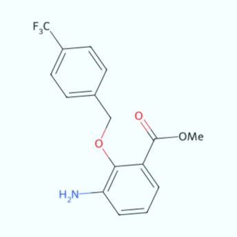 COC(=O)c1cccc(N)c1OCc1ccc(C(F)(F)F)cc1